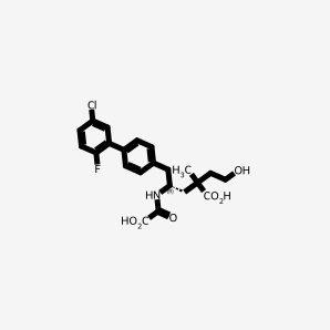 CC(CCO)(C[C@@H](Cc1ccc(-c2cc(Cl)ccc2F)cc1)NC(=O)C(=O)O)C(=O)O